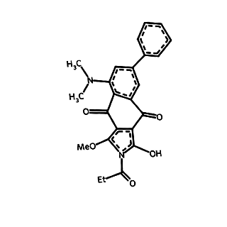 CCC(=O)n1c(O)c2c(c1OC)C(=O)c1c(cc(-c3ccccc3)cc1N(C)C)C2=O